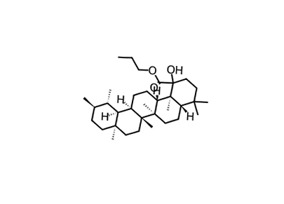 CCCOC(=O)C1(O)CCC(C)(C)[C@@H]2CC[C@]3(C)[C@H](CC[C@@H]4[C@@H]5[C@@H](C)[C@H](C)CC[C@]5(C)CC[C@]43C)[C@]21C